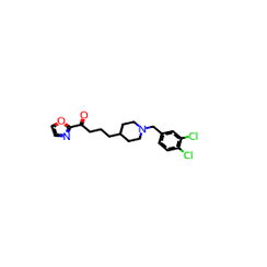 O=C(CCCC1CCN(Cc2ccc(Cl)c(Cl)c2)CC1)c1ncco1